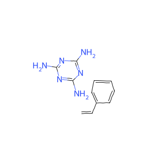 C=Cc1ccccc1.Nc1nc(N)nc(N)n1